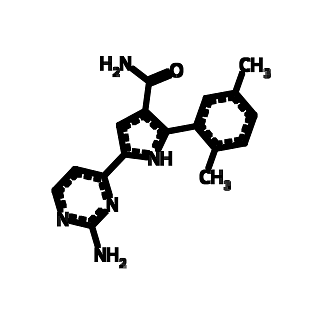 Cc1ccc(C)c(-c2[nH]c(-c3ccnc(N)n3)cc2C(N)=O)c1